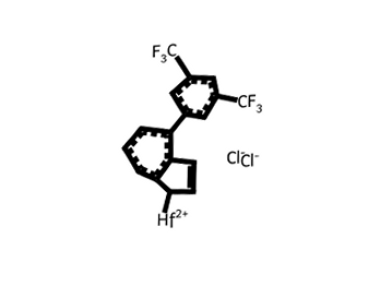 FC(F)(F)c1cc(-c2cccc3c2C=C[CH]3[Hf+2])cc(C(F)(F)F)c1.[Cl-].[Cl-]